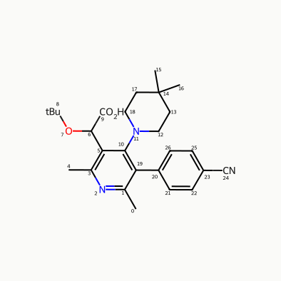 Cc1nc(C)c(C(OC(C)(C)C)C(=O)O)c(N2CCC(C)(C)CC2)c1-c1ccc(C#N)cc1